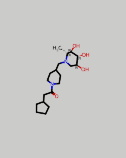 C[C@@H]1[C@@H](O)[C@H](O)[C@@H](O)CN1CC1CCN(C(=O)CC2CCCC2)CC1